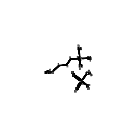 CCCCCCCCCCCC[N+](CC)(CC)CC.CS(=O)(=O)[O-]